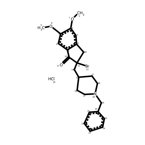 COc1cc2c(cc1OC)C(=O)C(Br)(CC1CCN(Cc3ccccc3)CC1)C2.Cl